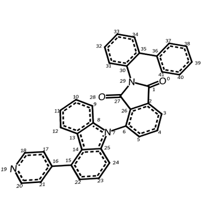 O=C1c2cccc(-n3c4ccccc4c4c(-c5ccncc5)cccc43)c2C(=O)N1c1ccccc1-c1ccccc1